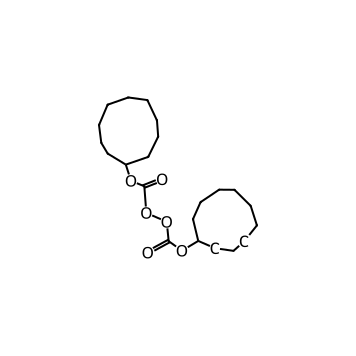 O=C(OOC(=O)OC1CCCCCCCCC1)OC1CCCCCCCCC1